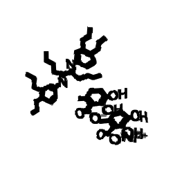 CCCCC(=Nc1ccc(CCC)c(CCC)c1)C(CCCC)=Nc1ccc(CCC)c(CCC)c1.Cc1ccc(O)c(O)c1C(=O)[O-].Cc1ccc(O)c(O)c1C(=O)[O-].[Ni+2]